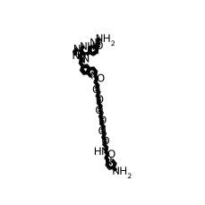 Nc1nc2cc(-c3nn(Cc4ccc5c(c4)CCN(C(=O)CCOCCOCCOCCOCCOCCOCCNC(=O)CN4CCC(N)CC4)C5)c4ncnc(N)c34)ccc2o1